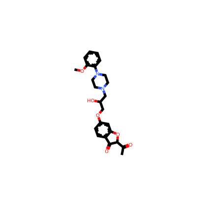 COc1ccccc1N1CCN(CC(O)COc2ccc3c(c2)OC(C(C)=O)C3=O)CC1